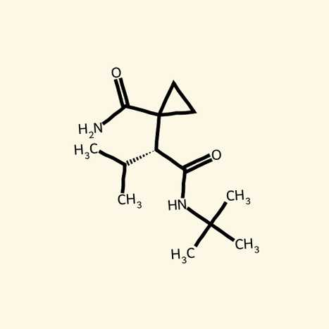 CC(C)[C@@H](C(=O)NC(C)(C)C)C1(C(N)=O)CC1